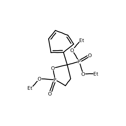 CCOP1(=O)CCC(c2ccccc2)(P(=O)(OCC)OCC)O1